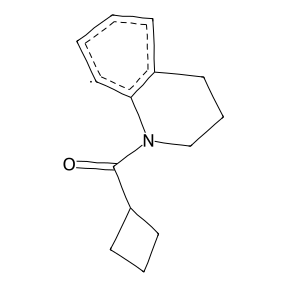 O=C(C1CCC1)N1CCCc2ccc[c]c21